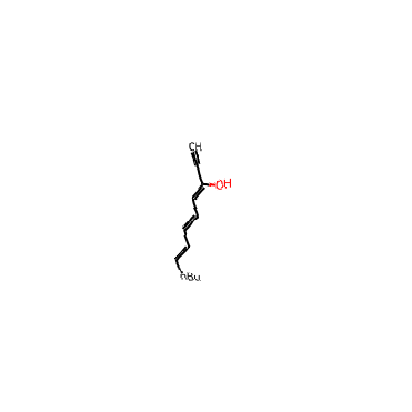 C#CC(O)=CC=CC=CCCCC